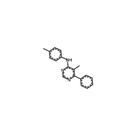 Cc1ccc(Nc2ncnc(-c3ccccc3)c2C)cc1